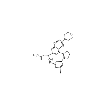 CNCC(O)c1cc(C2CCCN2c2cc(F)cc(F)c2)c2nc(N3CCOCC3)cnc2c1